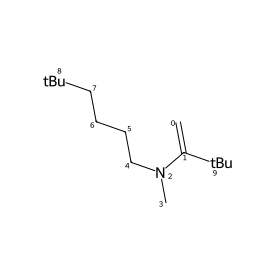 C=C(N(C)CCCCC(C)(C)C)C(C)(C)C